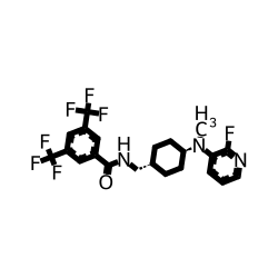 CN(c1cccnc1F)[C@H]1CC[C@@H](CNC(=O)c2cc(C(F)(F)F)cc(C(F)(F)F)c2)CC1